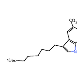 CCCCCCCCCCCCCCCCc1c[nH]c2ccc(C(=O)O)cc12